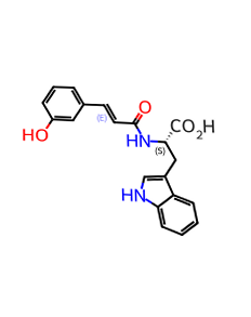 O=C(/C=C/c1cccc(O)c1)N[C@@H](Cc1c[nH]c2ccccc12)C(=O)O